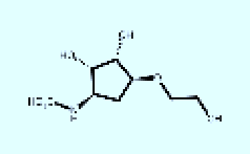 O=C(O)N[C@@H]1C[C@H](OCCO)[C@@H](O)[C@H]1O